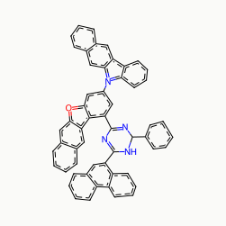 c1ccc(C2N=C(c3cc(-n4c5ccccc5c5cc6ccccc6cc54)cc4oc5cc6ccccc6cc5c34)N=C(c3cc4ccccc4c4ccccc34)N2)cc1